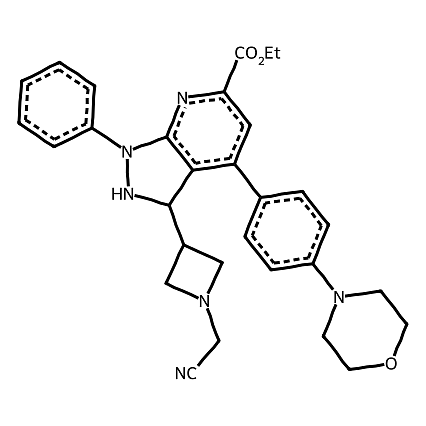 CCOC(=O)c1cc(-c2ccc(N3CCOCC3)cc2)c2c(n1)N(c1ccccc1)NC2C1CN(CC#N)C1